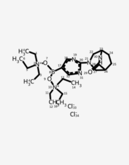 CC[N+](CC)(CC)OB(O[N+](CC)(CC)CC)c1cnc(N2CC3CCC(C2)C(=O)N3)nc1.[Cl-].[Cl-]